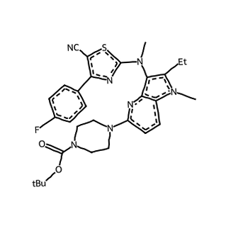 CCc1c(N(C)c2nc(-c3ccc(F)cc3)c(C#N)s2)c2nc(N3CCN(C(=O)OC(C)(C)C)CC3)ccc2n1C